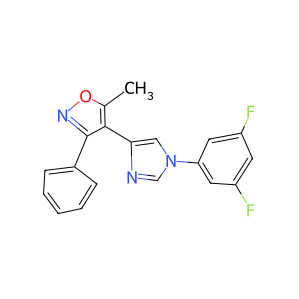 Cc1onc(-c2ccccc2)c1-c1cn(-c2cc(F)cc(F)c2)cn1